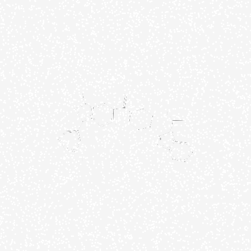 Cn1nc(-c2cccc(F)c2)c2cc(F)c(C(=O)N3CCC(c4nc5ccccc5n4C(F)F)CC3)cc21